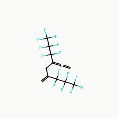 C=C=C(CC(=C)C(F)(F)C(F)(F)C(F)(F)F)C(F)(F)C(F)(F)C(F)(F)F